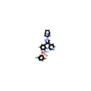 CN1C2CCC1CC(n1cc(-c3ccncc3)c(-c3cccc(NS(=O)(=O)c4cc(F)ccc4F)c3F)n1)C2